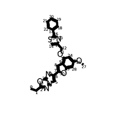 CCc1nn2cc(-c3cc4c(OCc5csc(-c6ccccc6)n5)cc(OC)cc4o3)nc2o1